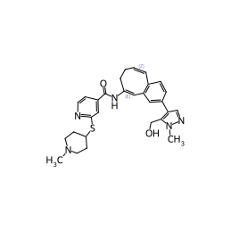 CN1CCC(Sc2cc(C(=O)N/C3=C/c4cc(-c5cnn(C)c5CO)ccc4/C=C\CC3)ccn2)CC1